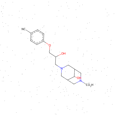 N#Cc1ccc(OCC(O)CN2CC3CN(C(=O)O)CC(C2)C3O)cc1